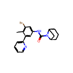 Cc1c(Br)cc(NC(=O)N2C3CCCC2C3)cc1-c1ccccn1